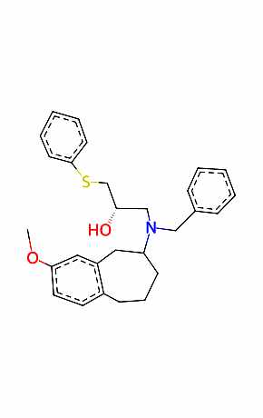 COc1ccc2c(c1)CC(N(Cc1ccccc1)C[C@H](O)CSc1ccccc1)CCC2